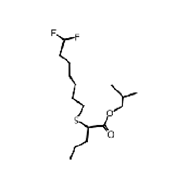 CCCC(SCCCCCCC(F)F)C(=O)OCC(C)C